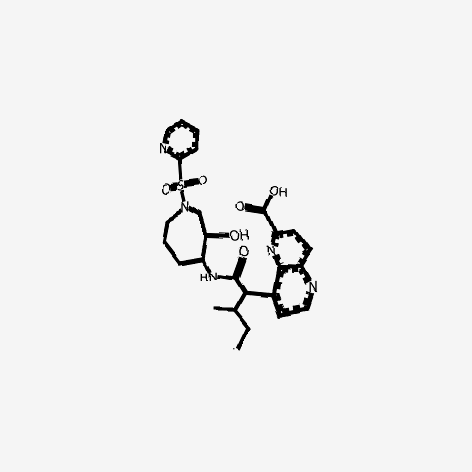 [CH2]CC(C)C(C(=O)NC1CCCN(S(=O)(=O)c2ccccn2)CC1O)c1ccnc2ccc(C(=O)O)nc12